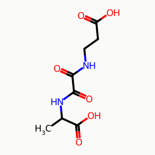 CC(NC(=O)C(=O)NCCC(=O)O)C(=O)O